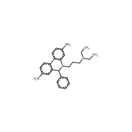 CCN(CC)CCCN1c2cc(N)ccc2-c2ccc(N)cc2C1c1ccccc1